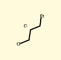 CCCCCCl.[C]